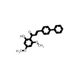 COc1cc(O)c(C(=O)/C=C/c2ccc(-c3ccccc3)cc2)c(OC)c1